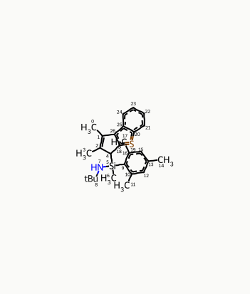 CC1=C(C)C([Si](C)(NC(C)(C)C)c2c(C)cc(C)cc2C)c2sc3ccccc3c21